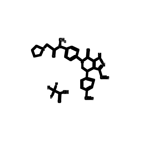 COc1ccc(C2CN(c3ccc(N(C)C(=O)CN4CCCC4)cc3)C(=O)c3[nH]nc(OC)c32)cc1.O=C(O)C(F)(F)F